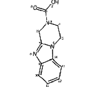 O=C(O)N1CCn2c(nc3ccccc32)C1